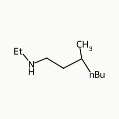 CCCCC(C)CCNCC